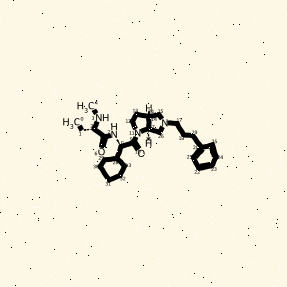 CC[C@H](NC)C(=O)N[C@H](C(=O)N1CC[C@H]2CN(CCCc3ccccc3)C[C@H]21)C1CCCCC1